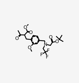 COC(=O)C(Cc1ccc(CN(CC(=O)OC(C)(C)C)CC(F)(F)F)cc1OC)C(C)=O